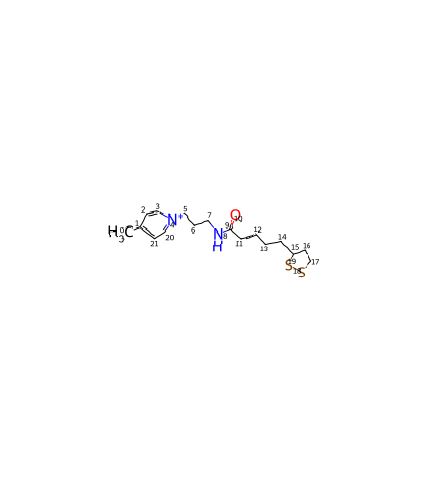 Cc1cc[n+](CCCNC(=O)CCCCC2CCSS2)cc1